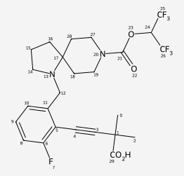 CC(C)(C#Cc1c(F)cccc1CN1CCCC12CCN(C(=O)OC(C(F)(F)F)C(F)(F)F)CC2)C(=O)O